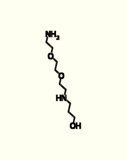 NCCOCCOCCNCCCO